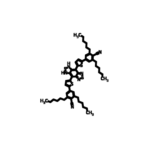 CCCCCCc1cc(-c2ccc(-c3c4c(c(-c5ccc(-c6cc(CCCCCC)c(C#N)c(CCCCCC)c6)s5)c5nsnc35)NSN4)s2)cc(CCCCCC)c1C#N